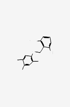 CC(=O)Oc1cccc(Cl)c1COc1cc(C)c(C)cc1C